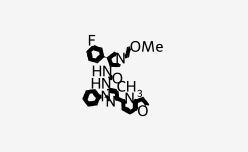 COCCN1C[C@@H](NC(=O)Nc2c(C)c(-c3ccc4c(n3)CCO4)nn2-c2ccccc2)[C@H](c2cccc(F)c2)C1